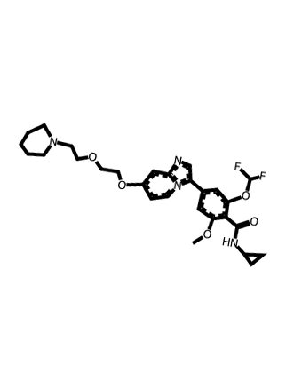 COc1cc(-c2cnc3cc(OCCOCCN4CCCCC4)ccn23)cc(OC(F)F)c1C(=O)NC1CC1